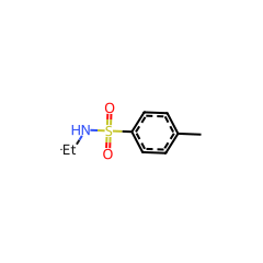 C[CH]NS(=O)(=O)c1ccc(C)cc1